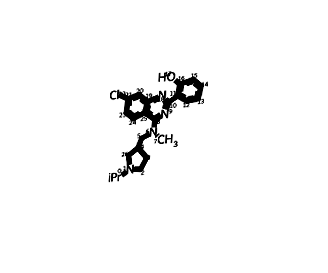 CC(C)N1CCC(CN(C)c2nc(-c3ccccc3O)nc3cc(Cl)ccc23)C1